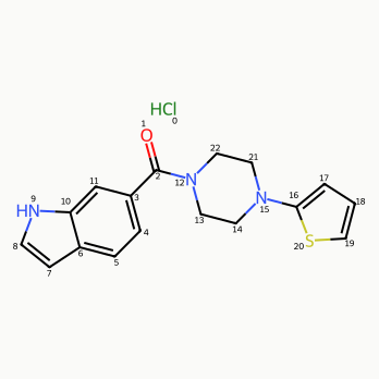 Cl.O=C(c1ccc2cc[nH]c2c1)N1CCN(c2cccs2)CC1